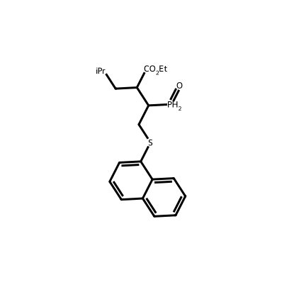 CCOC(=O)C(CC(C)C)C(CSc1cccc2ccccc12)[PH2]=O